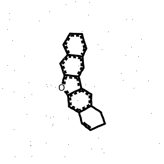 C1=Cc2cc3oc4cc5ccccc5cc4c3cc2CC1